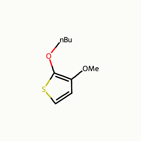 CCCCOc1sccc1OC